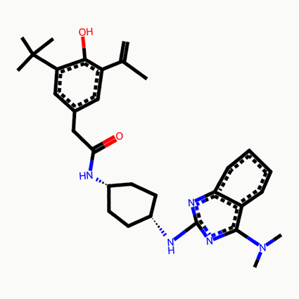 C=C(C)c1cc(CC(=O)N[C@H]2CC[C@@H](Nc3nc(N(C)C)c4ccccc4n3)CC2)cc(C(C)(C)C)c1O